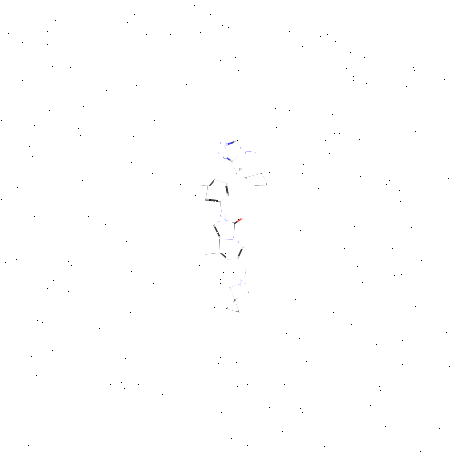 Cn1cnnc1[C@@H](c1cc(F)cc(-n2cc3c(C(F)(F)F)cc(CN4CC5(CC5)C4)cn3c2=O)c1)C1CCC1